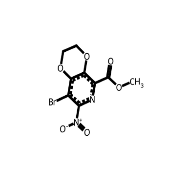 COC(=O)c1nc([N+](=O)[O-])c(Br)c2c1OCCO2